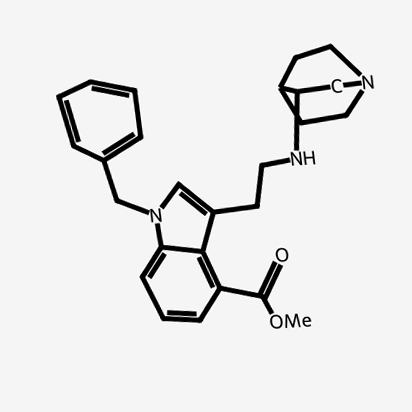 COC(=O)c1cccc2c1c(CCNC1CN3CCC1CC3)cn2Cc1ccccc1